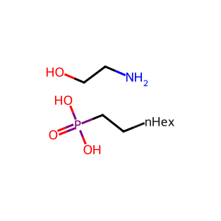 CCCCCCCCP(=O)(O)O.NCCO